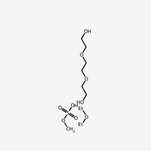 CCOCC.COS(=O)(=O)O.OCCOCCOCCO